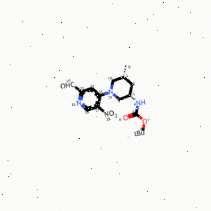 C[C@@H]1C[C@H](NC(=O)OC(C)(C)C)CN(c2cc(C=O)ncc2[N+](=O)[O-])C1